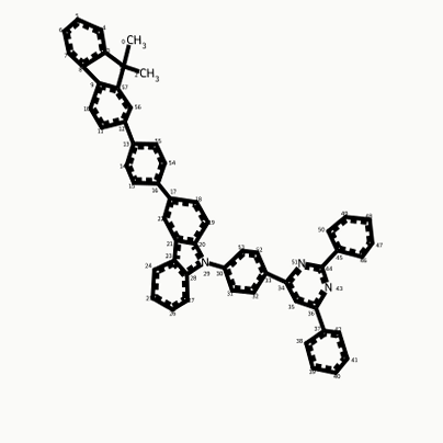 CC1(C)c2ccccc2-c2ccc(-c3ccc(-c4ccc5c(c4)c4ccccc4n5-c4ccc(-c5cc(-c6ccccc6)nc(-c6ccccc6)n5)cc4)cc3)cc21